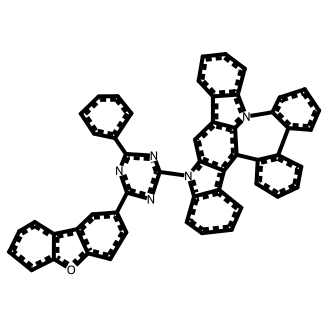 c1ccc(-c2nc(-c3ccc4oc5ccccc5c4c3)nc(-n3c4ccccc4c4c5c6c(cc43)c3ccccc3n6-c3ccccc3-c3ccccc3-5)n2)cc1